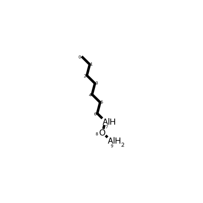 CCCCCC[CH2][AlH][O][AlH2]